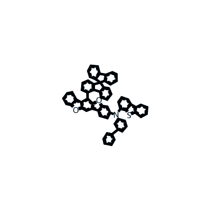 c1ccc(-c2cccc(N(c3ccc4c(c3)oc3c(-c5cccc6c5-c5ccccc5C65c6ccccc6-c6ccccc65)c5c(cc34)oc3ccccc35)c3cccc4c3sc3ccccc34)c2)cc1